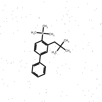 CC(C)(C)Cc1cc(-c2ccccc2)ccc1S(C)(C)C